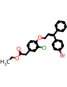 CCOC(=O)Cc1ccc(OC/C=C(/c2ccccc2)c2ccc(Br)cc2)c(Cl)c1